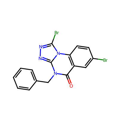 O=c1c2cc(Br)ccc2n2c(Br)nnc2n1Cc1ccccc1